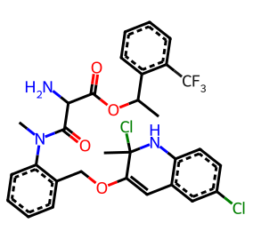 CC(OC(=O)C(N)C(=O)N(C)c1ccccc1COC1=Cc2cc(Cl)ccc2NC1(C)Cl)c1ccccc1C(F)(F)F